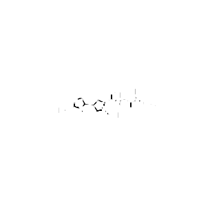 Cc1nc(-c2cc(C(=O)NCC(=O)NC(C)(C)C)n(C)c2)cs1